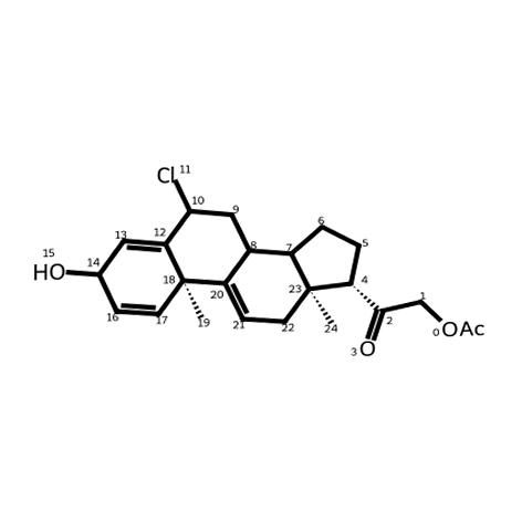 CC(=O)OCC(=O)[C@H]1CCC2C3CC(Cl)C4=CC(O)C=C[C@]4(C)C3=CC[C@@]21C